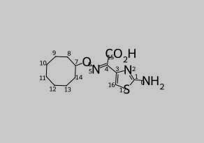 Nc1nc(/C(=N/OC2CCCCCCC2)C(=O)O)cs1